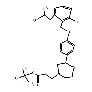 CC(C)Cc1cccc(Cl)c1COc1ccc(C2CN(CCC(=O)OC(C)(C)C)CCO2)cc1